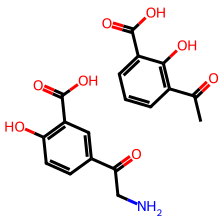 CC(=O)c1cccc(C(=O)O)c1O.NCC(=O)c1ccc(O)c(C(=O)O)c1